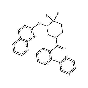 O=C(c1ccccc1-c1cnccn1)N1CCC(F)(F)C(Oc2ccc3ccccc3n2)C1